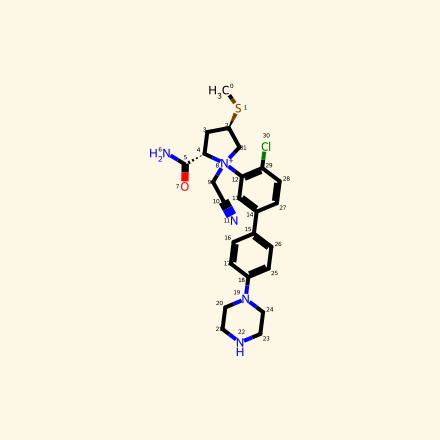 CS[C@@H]1C[C@@H](C(N)=O)[N+](CC#N)(c2cc(-c3ccc(N4CCNCC4)cc3)ccc2Cl)C1